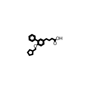 O=C(O)CCCc1ccc(OCC2CCCC2)c(-c2ccccc2)c1